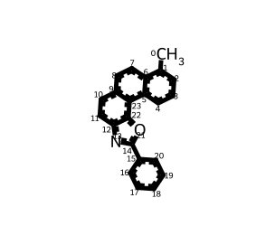 Cc1cccc2c1ccc1ccc3nc(-c4ccccc4)oc3c12